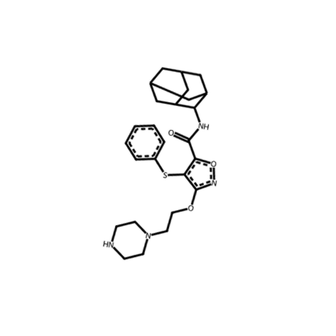 O=C(NC1C2CC3CC(C2)CC1C3)c1onc(OCCN2CCNCC2)c1Sc1ccccc1